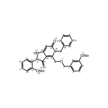 COc1cccc(COCc2c3c(=O)n(-c4ccccc4OC)[nH]c3cc(=O)n2Cc2cnccn2)c1